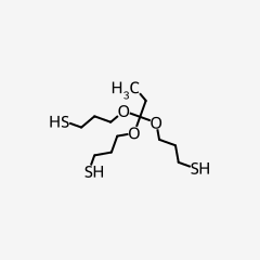 CCC(OCCCS)(OCCCS)OCCCS